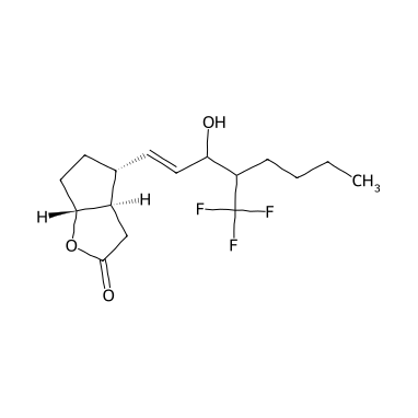 CCCCC(C(O)C=C[C@H]1CC[C@H]2OC(=O)C[C@H]12)C(F)(F)F